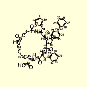 O=C1CCC(=O)N[C@H](Cc2cccs2)C(=O)N[C@@H](Cc2ccc(-c3ccccc3)cc2)C(=O)N[C@H](Cc2ccccc2)C(=O)N[C@H](C(=O)O)CCCCN1